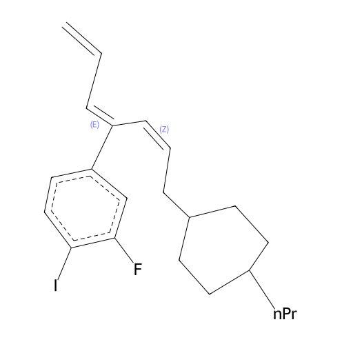 C=C/C=C(\C=C/CC1CCC(CCC)CC1)c1ccc(I)c(F)c1